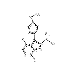 COc1ccc(-c2c3c(C)ccc(F)c3nn2C(C)C)cc1